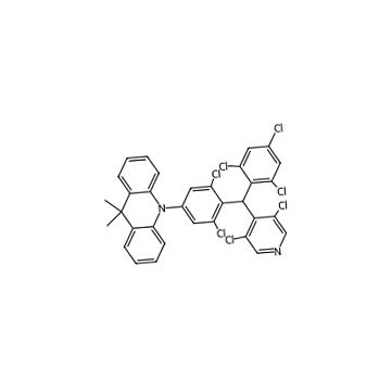 CC1(C)c2ccccc2N(c2cc(Cl)c(C(c3c(Cl)cncc3Cl)c3c(Cl)cc(Cl)cc3Cl)c(Cl)c2)c2ccccc21